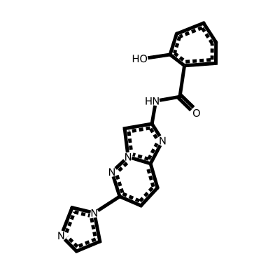 O=C(Nc1cn2nc(-n3ccnc3)ccc2n1)c1ccccc1O